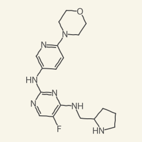 Fc1cnc(Nc2ccc(N3CCOCC3)nc2)nc1NCC1CCCN1